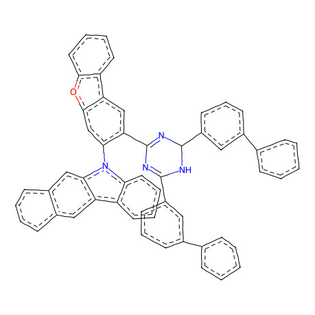 c1ccc(-c2cccc(C3=NC(c4cc5c(cc4-n4c6ccccc6c6cc7ccccc7cc64)oc4ccccc45)=NC(c4cccc(-c5ccccc5)c4)N3)c2)cc1